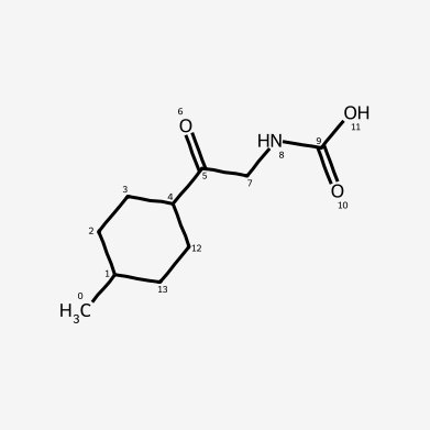 CC1CCC(C(=O)CNC(=O)O)CC1